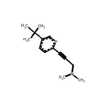 CN(C)CC#Cc1ccc(C(C)(C)C)cn1